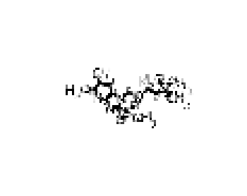 Cc1cc2c(nc1C)nc(S(C)(=O)=O)n2COCC[Si](C)(C)C